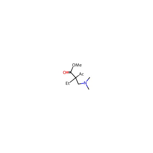 CCC(CN(C)C)(C(C)=O)C(=O)OC